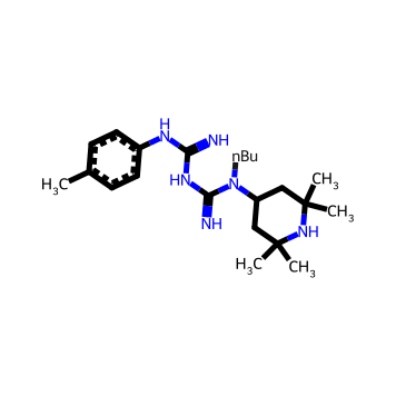 CCCCN(C(=N)NC(=N)Nc1ccc(C)cc1)C1CC(C)(C)NC(C)(C)C1